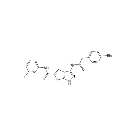 CC(C)(C)c1ccc(CC(=O)Nc2n[nH]c3sc(C(=O)Nc4cccc(F)c4)cc23)cc1